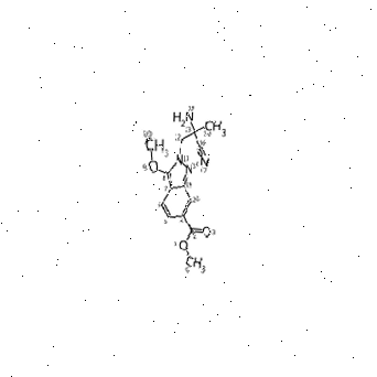 COC(=O)c1ccc2c(OC)n(CC(C)(N)C#N)nc2c1